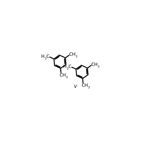 Cc1cc(C)cc(C)c1.Cc1cc(C)cc(C)c1.[V]